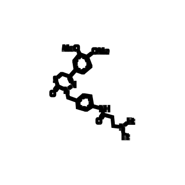 CCN(CC)CCC(=O)Nc1ccc(CN2N=C(c3ccc(OC)c(OC)c3)CSC2=O)cc1